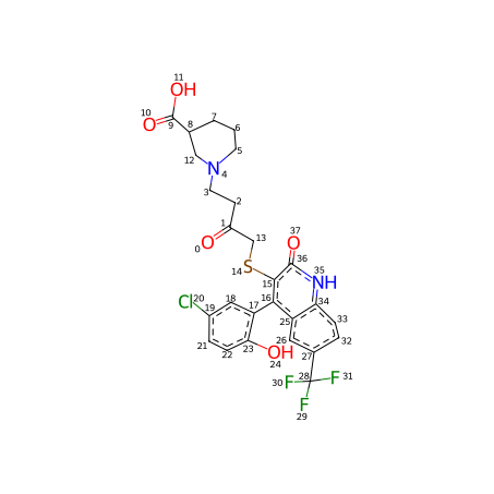 O=C(CCN1CCCC(C(=O)O)C1)CSc1c(-c2cc(Cl)ccc2O)c2cc(C(F)(F)F)ccc2[nH]c1=O